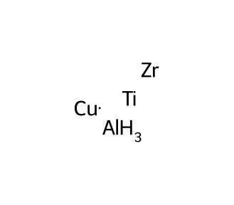 [AlH3].[Cu].[Ti].[Zr]